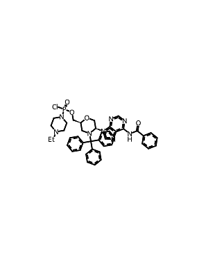 CCN1CCN(P(=O)(Cl)OC[C@@H]2CN(C(c3ccccc3)(c3ccccc3)c3ccccc3)[C@H](n3cnc4c(NC(=O)c5ccccc5)ncnc43)CO2)CC1